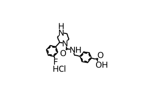 Cl.O=C(O)c1ccc(CNC(=O)N2CCNCC2c2cccc(F)c2)cc1